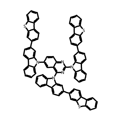 c1ccc2c(c1)sc1cc(-c3ccc4c5ccccc5n(-c5ccc6nc(-n7c8ccccc8c8ccc(-c9ccc%10c(c9)sc9ccccc9%10)cc87)nc(-n7c8ccccc8c8ccc(-c9ccc%10c(c9)sc9ccccc9%10)cc87)c6c5)c4c3)ccc12